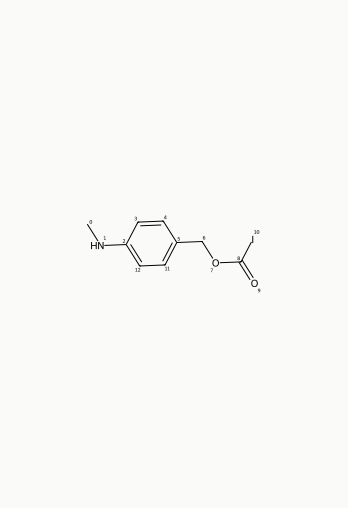 CNc1ccc(COC(=O)I)cc1